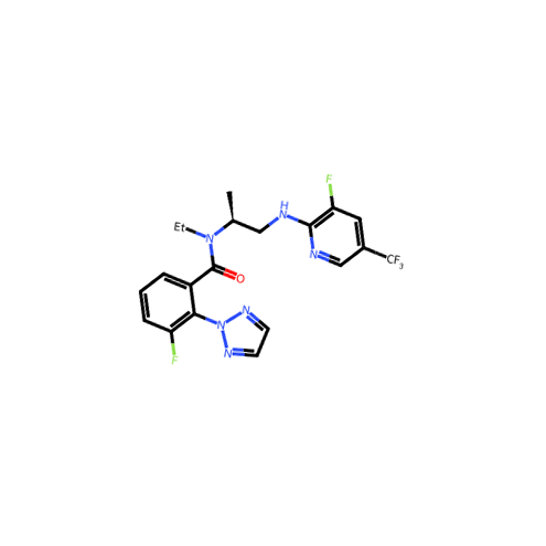 CCN(C(=O)c1cccc(F)c1-n1nccn1)[C@@H](C)CNc1ncc(C(F)(F)F)cc1F